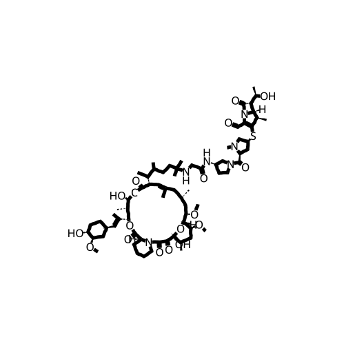 CO[C@H]1C[C@@H](C)C/C(C)=C/[C@@H](C(C)C(C)CCC(C)(C)NCC(=O)N[C@H]2CCN(C(=O)[C@@H]3C[C@H](SC4=C(C=O)N5C(=O)[C@H]([C@@H](C)O)[C@H]5[C@H]4C)CN3C)C2)C(=O)C[C@H](O)[C@@H](C)[C@@H](/C(C)=C/[C@@H]2CC[C@@H](O)[C@H](OC)C2)OC(=O)[C@@H]2CCCCN2C(=O)C(=O)[C@]2(O)O[C@H]1[C@@H](OC)C[C@H]2C